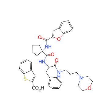 O=C(NC1(C(=O)NC(Cc2ccccc2)C(=O)NCCCN2CCOCC2)CCCC1)c1cc2ccccc2o1.O=C(O)c1cc2ccccc2s1